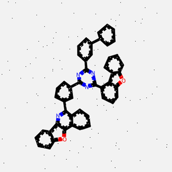 c1ccc(-c2cccc(-c3nc(-c4cccc(-c5nc6c7ccccc7oc6c6ccccc56)c4)nc(-c4cccc5oc6ccccc6c45)n3)c2)cc1